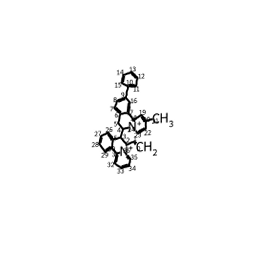 C=CC1C(C2Cc3ccc(-c4ccccc4)cc3-c3cc(C)cc[n+]32)c2ccccc2-c2cccc[n+]21